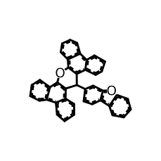 c1ccc2c(c1)oc1cc(C3c4c(c5ccccc5c5ccccc45)Oc4c3c3ccccc3c3ccccc43)ccc12